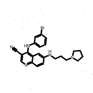 N#Cc1cnc2ccc(NCCCN3CCCC3)cc2c1Nc1cccc(Br)c1